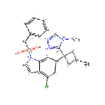 CC1CC(c2cc(Br)c3ccn(S(=O)(=O)Cc4ccccc4)c3c2)(c2nncn2C)C1